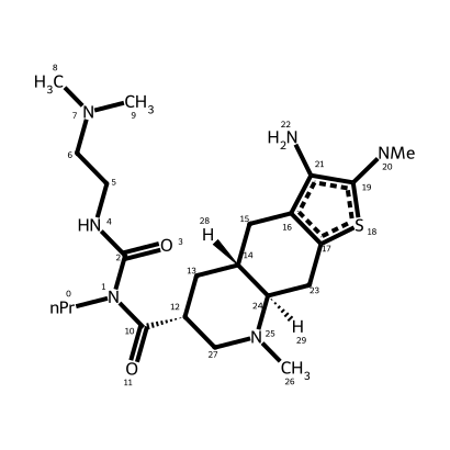 CCCN(C(=O)NCCN(C)C)C(=O)[C@@H]1C[C@@H]2Cc3c(sc(NC)c3N)C[C@H]2N(C)C1